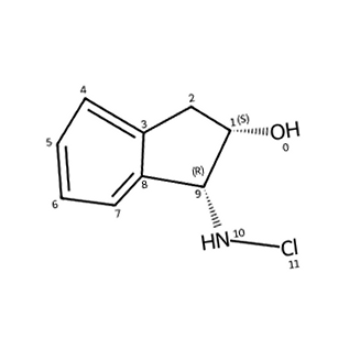 O[C@H]1Cc2ccccc2[C@H]1NCl